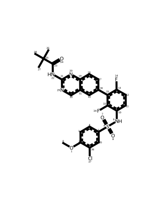 COc1ccc(S(=O)(=O)Nc2ccc(F)c(-c3ccc4nc(NC(=O)C(C)(C)C)ncc4c3)c2F)cc1Cl